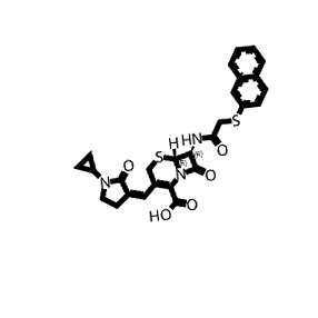 O=C(CSc1ccc2ccccc2c1)N[C@@H]1C(=O)N2C(C(=O)O)=C(C=C3CCN(C4CC4)C3=O)CS[C@H]12